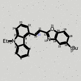 CCn1c2ccccc2c2c(/C=C/c3nc4cc(C(C)(C)C)ccc4o3)cccc21